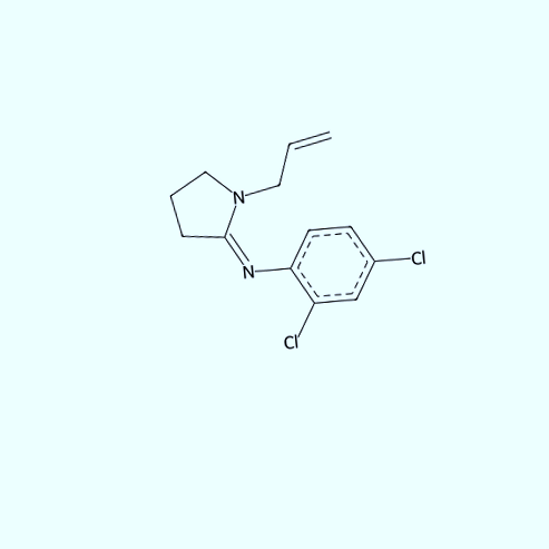 C=CCN1CCCC1=Nc1ccc(Cl)cc1Cl